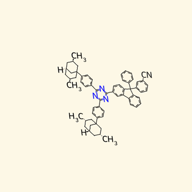 C[C@@H]1C[C@@H]2C[C@H](C)CC(c3ccc(-c4nc(-c5ccc(C67C[C@H](C)C[C@H](C[C@H](C)C6)C7)cc5)nc(-c5ccc6c(c5)-c5ccccc5C6(c5ccccc5)c5cccc(C#N)c5)n4)cc3)(C1)C2